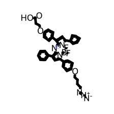 [N-]=[N+]=NCCCCOc1ccc(-c2cc(-c3ccccc3)c(/N=C3\N=C(c4ccccc4)C=C3c3ccc(OCCC(=O)O)cc3)n2B(F)F)cc1